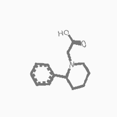 O=C(O)CN1CCCCC1c1ccccc1